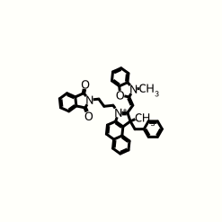 CN1/C(=C/C2=[N+](CCCN3C(=O)c4ccccc4C3=O)c3ccc4ccccc4c3C2(C)Cc2ccccc2)Oc2ccccc21